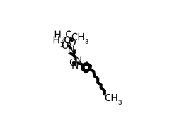 CCCCCCCCCc1ccc(-c2noc(C3CN(C(=O)OC(C)(C)C)C3)n2)cc1